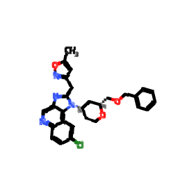 Cc1cc(Cc2nc3cnc4ccc(Cl)cc4c3n2[C@H]2CCO[C@@H](COCc3ccccc3)C2)no1